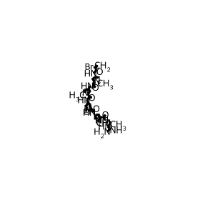 C=C(Br)C(=O)Nc1cc(C(=O)Nc2cc(C(=O)Nc3cc(C(=O)Nc4cc(C(=O)NCC(C)NC(=N)N)n(C)c4)n(C)c3)n(C)c2)n(C)c1